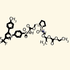 CCOC(=O)OC(C)O/N=[N+](\[O-])N1CCC[C@H]1COC(=O)NS(=O)(=O)c1ccc(-n2nc(C(F)(F)F)cc2-c2ccc(C)cc2)cc1